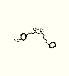 CCN(CCCSc1ccccc1)CC(O)COc1ccc(C#N)cc1